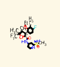 CCOc1c([C@H]2[C@H](C(=O)Nc3ccnc(S(C)(=N)=O)c3)O[C@@](C)(C(F)(F)F)[C@H]2C)ccc(F)c1C